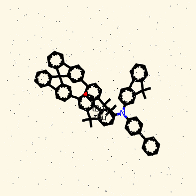 CC1(C)c2ccc(N(c3ccc(-c4ccccc4)cc3)c3ccc4c(c3)C(C)(C)c3ccccc3-4)cc2-c2ccc(-c3ccc4c(c3)C3(c5ccccc5-c5ccc(-c6ccc(C(C)(C(C)(C)C)C(C)(C)C(C)(C)C)cc6)cc53)c3ccccc3-4)cc21